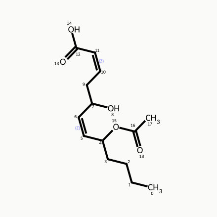 CCCCC(/C=C\C(O)C/C=C\C(=O)O)OC(C)=O